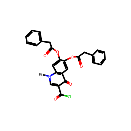 CCn1cc(C(=O)Cl)c(=O)c2cc(OC(=O)Cc3ccccc3)c(OC(=O)Cc3ccccc3)cc21